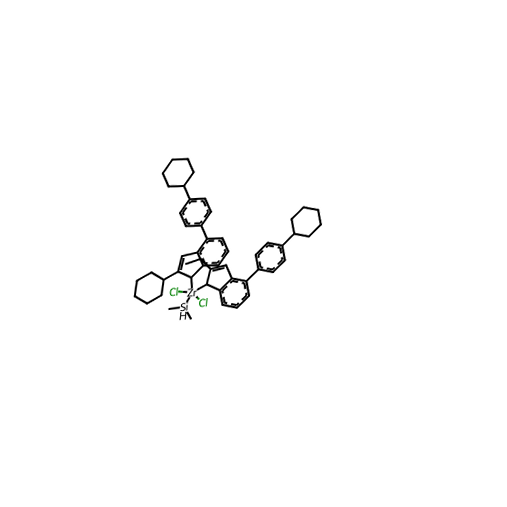 CCC1=Cc2c(-c3ccc(C4CCCCC4)cc3)cccc2[CH]1[Zr]([Cl])([Cl])([CH]1C(C2CCCCC2)=Cc2c(-c3ccc(C4CCCCC4)cc3)cccc21)[SiH](C)C